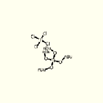 CCCC[O][Ti]([O]CCCC)([O]CCCC)[O]CCCC.[Cl][Ti]([Cl])([Cl])[Cl]